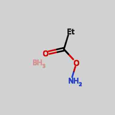 B.CCC(=O)ON